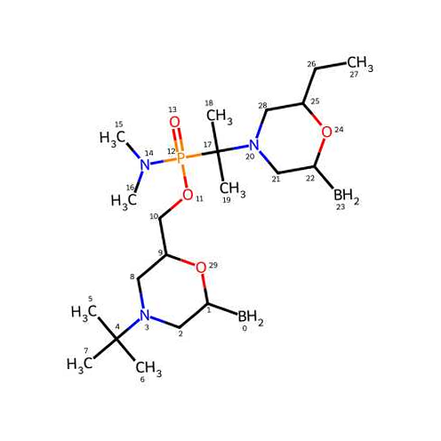 BC1CN(C(C)(C)C)CC(COP(=O)(N(C)C)C(C)(C)N2CC(B)OC(CC)C2)O1